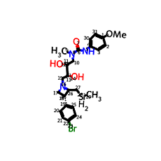 COc1ccc(NC(=O)N(C)C[C@@H](O)[C@@H](O)CN2C[C@@H](c3ccc(Br)cc3)C2C[SiH2]C)cc1